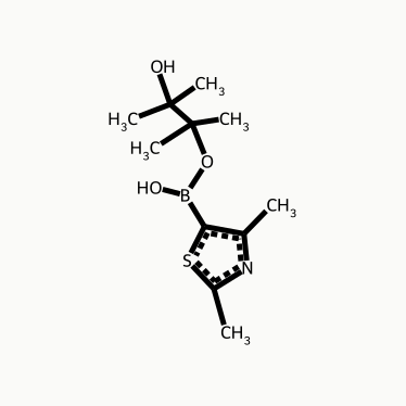 Cc1nc(C)c(B(O)OC(C)(C)C(C)(C)O)s1